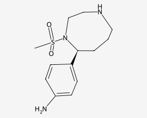 CS(=O)(=O)N1CCNCCC[C@H]1c1ccc(N)cc1